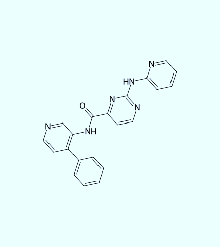 O=C(Nc1cnccc1-c1ccccc1)c1ccnc(Nc2ccccn2)n1